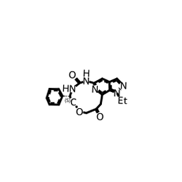 CCn1ncc2cc3nc(c21)CC(=O)COC[C@H](c1ccccc1)NC(=O)N3